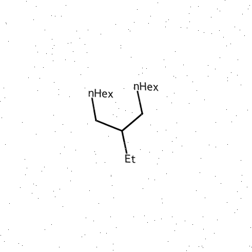 [CH2]CC(CCCCCCC)CCCCCCC